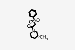 C[C@@H]1CCCN(C(=O)CS(=O)(=O)c2ccccc2)C1